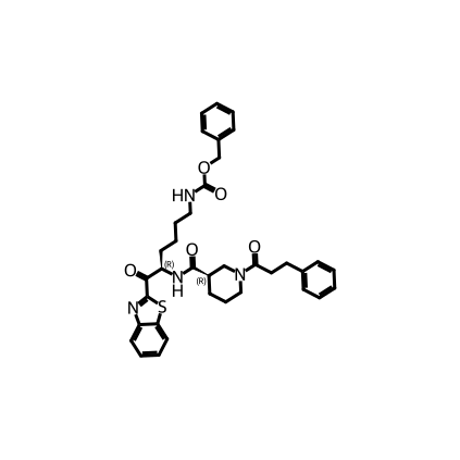 O=C(NCCCC[C@@H](NC(=O)[C@@H]1CCCN(C(=O)CCc2ccccc2)C1)C(=O)c1nc2ccccc2s1)OCc1ccccc1